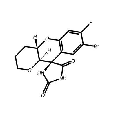 O=C1NC(=O)[C@@]2(N1)c1cc(Br)c(F)cc1O[C@H]1CCCO[C@@H]12